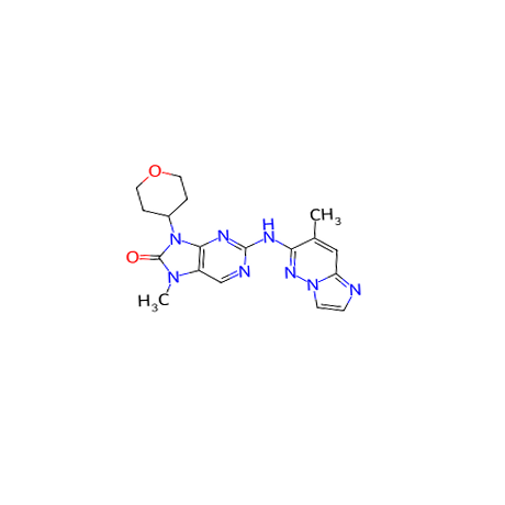 Cc1cc2nccn2nc1Nc1ncc2c(n1)n(C1CCOCC1)c(=O)n2C